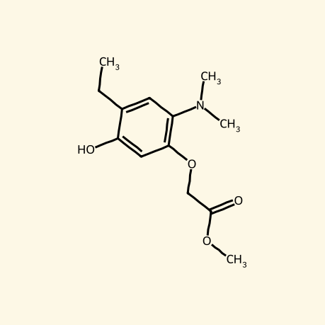 CCc1cc(N(C)C)c(OCC(=O)OC)cc1O